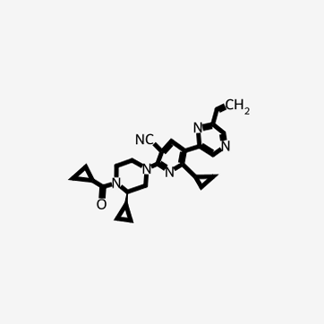 C=Cc1cncc(-c2cc(C#N)c(N3CCN(C(=O)C4CC4)[C@H](C4CC4)C3)nc2C2CC2)n1